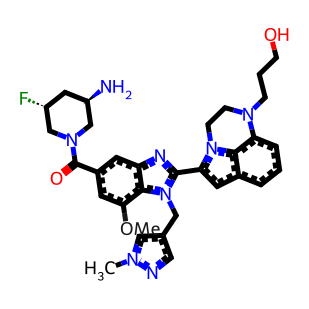 COc1cc(C(=O)N2C[C@H](N)C[C@@H](F)C2)cc2nc(-c3cc4cccc5c4n3CCN5CCCO)n(Cc3cnn(C)c3)c12